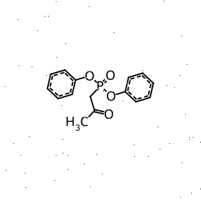 CC(=O)CP(=O)(Oc1ccccc1)Oc1ccccc1